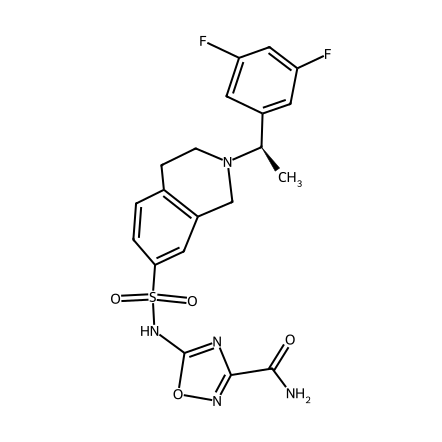 C[C@H](c1cc(F)cc(F)c1)N1CCc2ccc(S(=O)(=O)Nc3nc(C(N)=O)no3)cc2C1